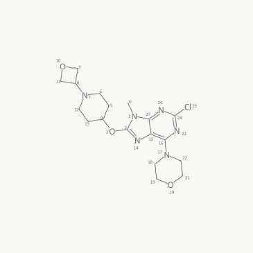 Cn1c(OC2CCN(C3COC3)CC2)nc2c(N3CCOCC3)nc(Cl)nc21